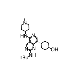 CCCCNc1ncc2c(NC3CCN(C)CC3)ncc([C@H]3CC[C@H](O)CC3)c2n1